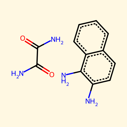 NC(=O)C(N)=O.Nc1ccc2ccccc2c1N